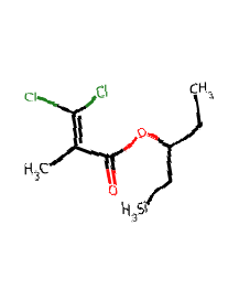 CCC(C[SiH3])OC(=O)C(C)=C(Cl)Cl